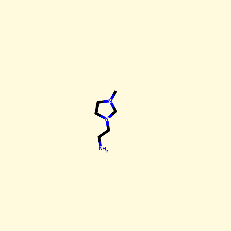 CN1CCN(CCN)C1